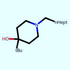 CCCCCCCCN1CCC(O)(C(C)(C)C)CC1